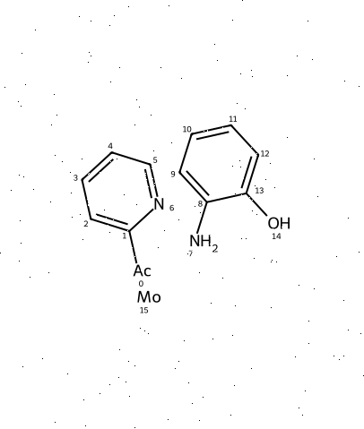 CC(=O)c1ccccn1.Nc1ccccc1O.[Mo]